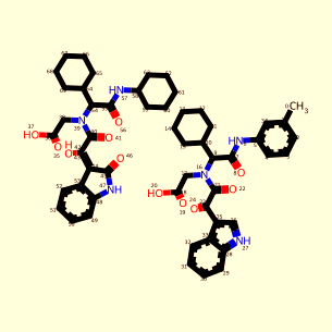 Cc1cccc(NC(=O)C(C2CCCCC2)N(CC(=O)O)C(=O)C(=O)c2c[nH]c3ccccc23)c1.O=C(O)CN(C(=O)C(O)=C1C(=O)Nc2ccccc21)C(C(=O)NC1CCCCC1)C1CCCCC1